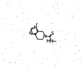 CNC(=S)N1CCc2ncn(C)c2C1